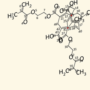 C=C(C)C(=O)OCCOC(=O)C1=C2CCC2=C(C2=C(/C)C/C(C(=O)O)=C\C(C(=O)OCCOC(=O)C(=C)C)\C(C)=C\2)C=C(C(=O)O)C1